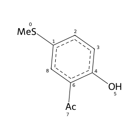 CSc1ccc(O)c(C(C)=O)c1